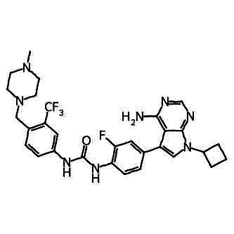 CN1CCN(Cc2ccc(NC(=O)Nc3ccc(-c4cn(C5CCC5)c5ncnc(N)c45)cc3F)cc2C(F)(F)F)CC1